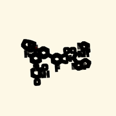 O=C1CCN(c2ccc(CN3C4CCC3CN(c3ccc(-c5cc(F)c6c(c5)C(=O)N(C(C(=O)Nc5nccs5)c5ncn7c5CCC7)C6)cc3)C4)c(F)c2)C(=O)N1